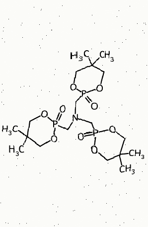 CC1(C)COP(=O)(CN(CP2(=O)OCC(C)(C)CO2)CP2(=O)OCC(C)(C)CO2)OC1